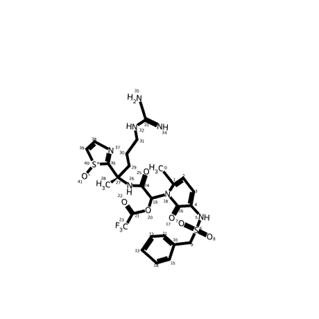 Cc1ccc(NS(=O)(=O)Cc2ccccc2)c(=O)n1C(OC(=O)C(F)(F)F)C(=O)N[C@@](C)(CCCNC(=N)N)c1ncc[s+]1[O-]